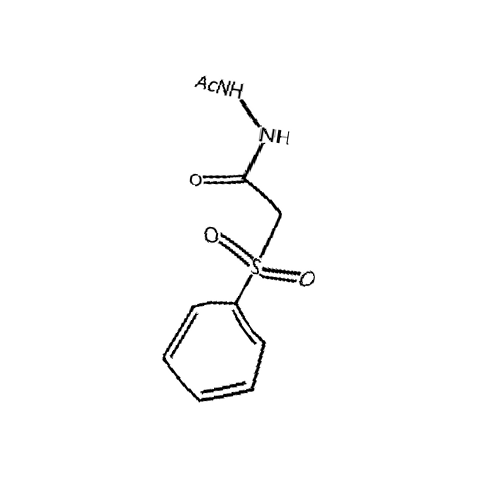 CC(=O)NNC(=O)CS(=O)(=O)c1ccccc1